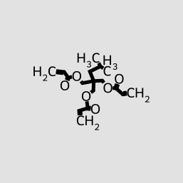 C=CC(=O)OCC(COC(=O)C=C)(COC(=O)C=C)CC(C)C